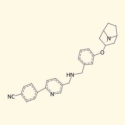 CN1C2CCC1CC(Oc1cccc(CNCc3ccc(-c4ccc(C#N)cc4)nc3)c1)C2